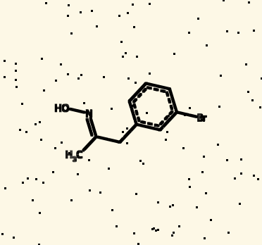 CC(Cc1cccc(Br)c1)=NO